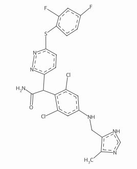 Cc1nc[nH]c1CNc1cc(Cl)c(C(C(N)=O)c2ccc(Sc3ccc(F)cc3F)nn2)c(Cl)c1